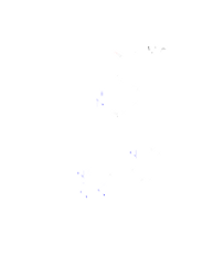 COC(=O)c1ccc(OCc2c(-c3ccc(F)cn3)nnn2C)nc1